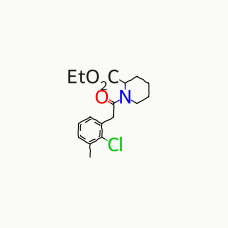 CCOC(=O)C1CCCCN1C(=O)Cc1cccc(C)c1Cl